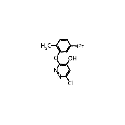 Cc1ccc(C(C)C)cc1Oc1nnc(Cl)cc1O